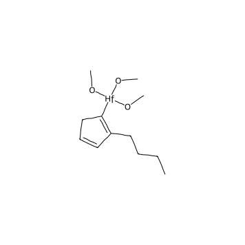 CCCCC1=[C]([Hf]([O]C)([O]C)[O]C)CC=C1